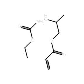 C=CC(=O)OCC(C)O.CCOC(N)=O